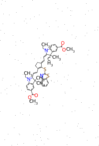 CCN1/C(=C/C=C2\CCC(/C=C/C3=[N+](CC)c4ccc(C(=O)OC)cc4C3(C)C)=C2Sc2nc3ccccc3s2)C(C)(C)c2cc(C(=O)OC)ccc21